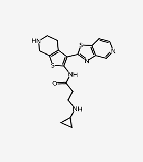 O=C(CCNC1CC1)Nc1sc2c(c1-c1nc3cnccc3s1)CCNC2